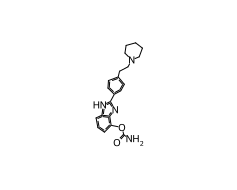 NC(=O)Oc1cccc2[nH]c(-c3ccc(CCN4CCCCC4)cc3)nc12